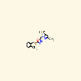 Cc1cc(C)n(Cc2nnc(SCc3ccccc3C)o2)n1